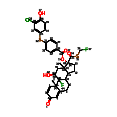 C[C@]12C=CC(=O)C=C1CCC1C3CC[C@](OC(=O)c4ccc(Sc5ccc(O)c(Cl)c5)cc4)(C(=O)SCF)[C@@]3(C)C[C@H](O)C12F